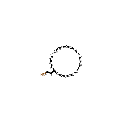 SCCC1CCCCCCCCCCCCCCCCCCCCC1